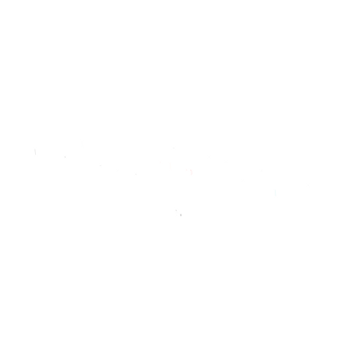 O=P([O-])(C(F)(F)C(F)(F)C(F)(F)C(F)(F)C(F)(F)C(F)(F)C(F)(F)C(F)(F)F)C(F)(F)C(F)(F)C(F)(F)C(F)(F)C(F)(F)C(F)(F)C(F)(F)C(F)(F)F.[Na+]